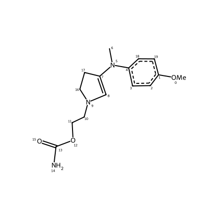 COc1ccc(N(C)C2=CN(CCOC(N)=O)CC2)cc1